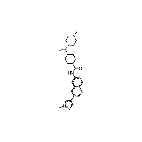 CN1CCN(C(=O)[C@H]2CC[C@H](C(=O)Nc3cc4cc(-c5cnn(C)c5)cnc4cn3)CC2)CC1